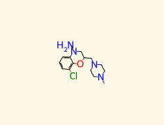 CN1CCN(CC2CN(N)c3cccc(Cl)c3O2)CC1